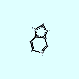 C1=Cc2scnc2C=[N+]1